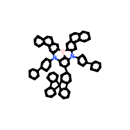 c1ccc(-c2ccc(N3c4cc5c(ccc6ccccc65)cc4B4c5cc6ccc7ccccc7c6cc5N(c5ccc(-c6ccccc6)cc5)c5cc(-c6ccc7c(c6)C6(c8ccccc8-c8ccccc86)c6ccccc6-7)cc3c54)cc2)cc1